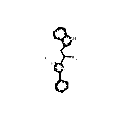 Cl.NC(Cc1c[nH]c2ccccc12)c1nc(-c2ccccc2)c[nH]1